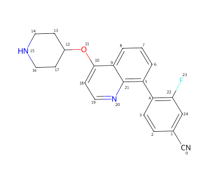 N#Cc1ccc(-c2cccc3c(OC4CCNCC4)ccnc23)c(F)c1